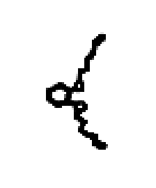 C=CCCCCOC1CCCCC1OCCCCC=C